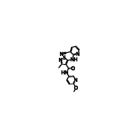 COc1ccc(NC(=O)c2c(C)nsc2Nc2ncccc2C#N)cn1